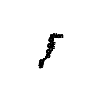 CCCCCCCCCc1ccc(-c2ccc(-c3ccc(OCCCCO[Si](C)(C)[Si](C)(C)C)cc3)c(F)c2F)cc1